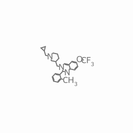 Cc1ccccc1C1N=c2ccc(OC(F)(F)F)cc2=CN1CC1CCCN(CC2CC2)C1